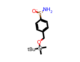 CC(C)(C)[Si](C)(C)OCc1ccc([S@@+](N)[O-])cc1